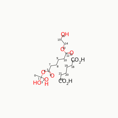 CC(O)(O)OC(=O)CCCCC(=O)OCCO.O=C(O)CCCCC(=O)O